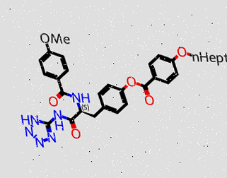 CCCCCCCOc1ccc(C(=O)Oc2ccc(C[C@H](NC(=O)c3ccc(OC)cc3)C(=O)Nc3nnn[nH]3)cc2)cc1